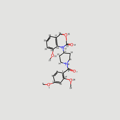 COc1ccc(C(=O)N2CCC(N3C(=O)OCc4cccc(OC)c43)CC2)c(OC)c1